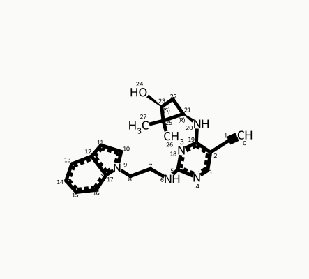 C#Cc1cnc(NCCn2ccc3ccccc32)nc1N[C@@H]1C[C@H](O)C1(C)C